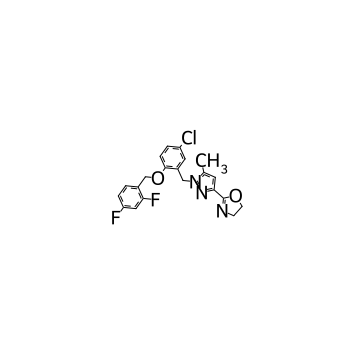 Cc1cc(C2=NCCO2)nn1Cc1cc(Cl)ccc1OCc1ccc(F)cc1F